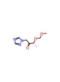 COCO[C@H](C)C(=O)Cn1cncn1